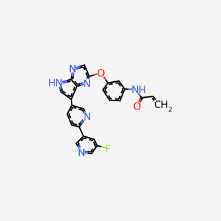 C=CC(=O)Nc1cccc(Oc2cnc3[nH]cc(-c4ccc(-c5cncc(F)c5)nc4)c3n2)c1